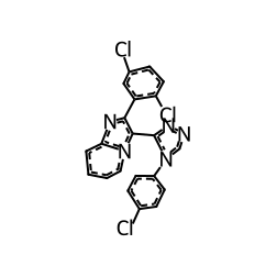 Clc1ccc(-n2cnnc2-c2c(-c3cc(Cl)ccc3Cl)nc3ccccn23)cc1